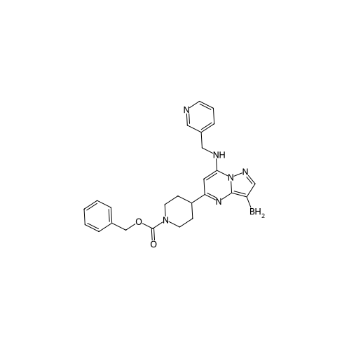 Bc1cnn2c(NCc3cccnc3)cc(C3CCN(C(=O)OCc4ccccc4)CC3)nc12